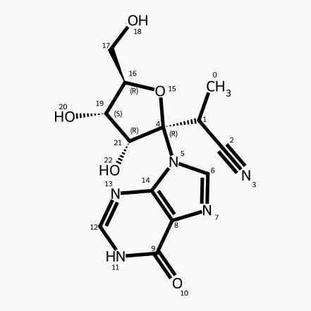 CC(C#N)[C@@]1(n2cnc3c(=O)[nH]cnc32)O[C@H](CO)[C@@H](O)[C@H]1O